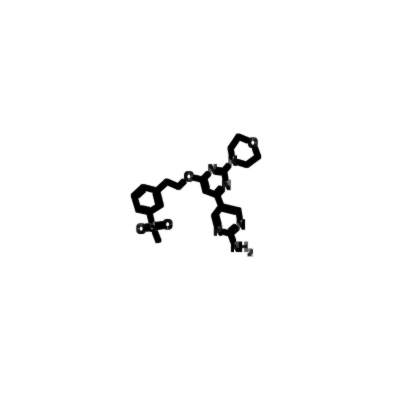 CS(=O)(=O)c1cccc(CCOc2cc(-c3cnc(N)nc3)nc(N3CCOCC3)n2)c1